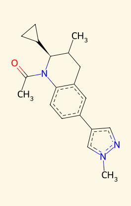 CC(=O)N1c2ccc(-c3cnn(C)c3)cc2CC(C)[C@@H]1C1CC1